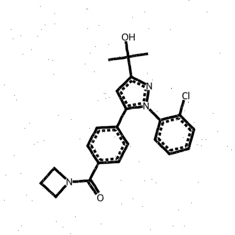 CC(C)(O)c1cc(-c2ccc(C(=O)N3CCC3)cc2)n(-c2ccccc2Cl)n1